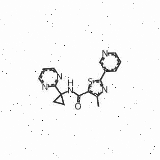 Cc1nc(-c2cccnc2)sc1C(=O)NC1(c2ncccn2)CC1